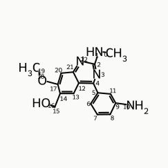 CNc1nc(-c2cccc(N)c2)c2cc(CO)c(OC)cc2n1